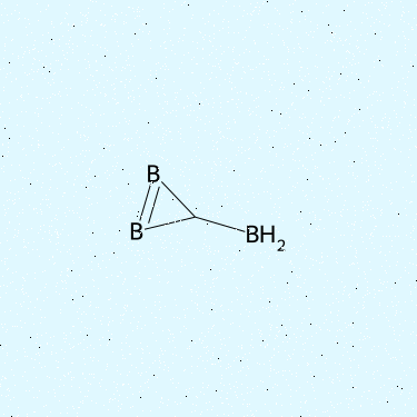 BC1B=B1